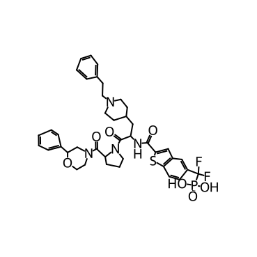 O=C(NC(CC1CCN(CCc2ccccc2)CC1)C(=O)N1CCCC1C(=O)N1CCOC(c2ccccc2)C1)c1cc2cc(C(F)(F)P(=O)(O)O)ccc2s1